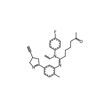 C#CC1CN=C(c2ccc(C)c(/N=C(/CCCCC(C)=O)N(C=C)c3ccc(F)cc3)c2)C1